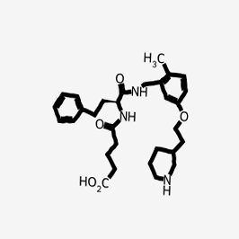 Cc1ccc(OCCC2CCCNC2)cc1CNC(=O)[C@H](CCc1ccccc1)NC(=O)CCCC(=O)O